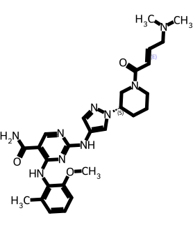 COc1cccc(C)c1Nc1nc(Nc2cnn([C@H]3CCCN(C(=O)/C=C/CN(C)C)C3)c2)ncc1C(N)=O